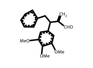 C=C(C=O)C(Cc1ccccc1)c1cc(OC)c(OC)c(OC)c1